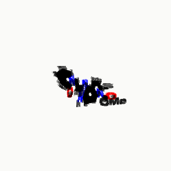 COC(=O)N1c2ccc3c(nc(CCn4ccccc4=O)n3C)c2CC[C@@H]1C